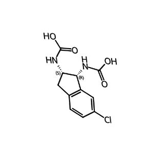 O=C(O)N[C@H]1Cc2ccc(Cl)cc2[C@H]1NC(=O)O